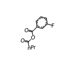 CCCC(=O)OC(=O)c1cccc(F)c1